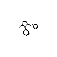 O=C1C=CC(=O)N1c1ccccc1.c1ccoc1